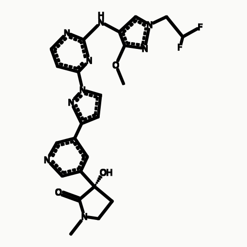 COc1nn(CC(F)F)cc1Nc1nccc(-n2ccc(-c3cncc([C@@]4(O)CCN(C)C4=O)c3)n2)n1